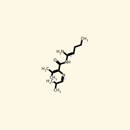 CCC/C=C(\N)NC(=O)C(/N=C\C(C)C)=C(C)C